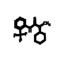 CN(C(=S)Nc1ccccc1C(F)(F)F)C1CCCCC1